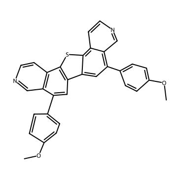 COc1ccc(-c2cc3c4cc(-c5ccc(OC)cc5)c5cnccc5c4sc3c3ccncc23)cc1